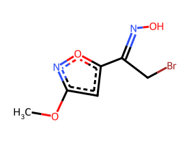 COc1cc(C(CBr)=NO)on1